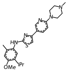 COc1cc(C)c(Nc2nc(-c3ccc(N4CCN(C)CC4)nc3)cs2)cc1C(C)C